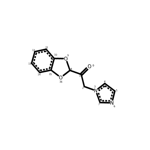 O=C(Cn1ccnc1)C1Oc2ccccc2O1